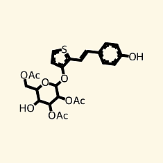 CC(=O)OCC1OC(Oc2ccsc2/C=C/c2ccc(O)cc2)C(OC(C)=O)C(OC(C)=O)C1O